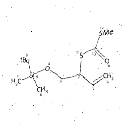 C=CC(CO[Si](C)(C)C(C)(C)C)SC(=O)SC